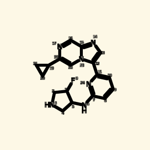 FC1CNCC1Nc1cccc(-c2cnc3cnc(C4CC4)cn23)n1